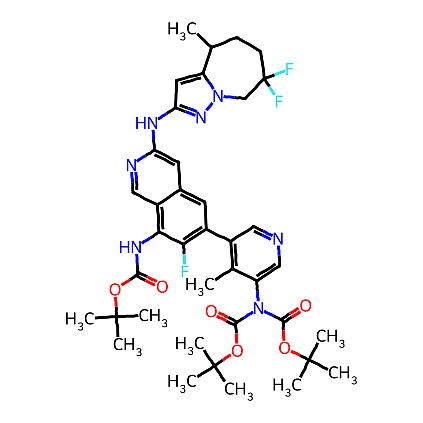 Cc1c(-c2cc3cc(Nc4cc5n(n4)CC(F)(F)CCC5C)ncc3c(NC(=O)OC(C)(C)C)c2F)cncc1N(C(=O)OC(C)(C)C)C(=O)OC(C)(C)C